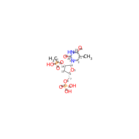 Cc1cn([C@@H]2O[C@H](COP(=O)(O)O)C[C@@H]2OP(C)(=O)O)c(=O)[nH]c1=O